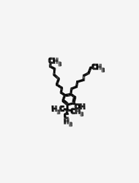 CCCCCCCCc1cc(O)c(C(C)(C)C)cc1CCCCCCCC